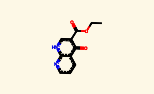 CCOC(=O)c1c[nH]c2ncccc2c1=O